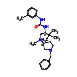 Cc1cccc(NC(=O)N[C@H](CN(C)[C@H]2CCN(Cc3ccccc3)C2)C(C)(C)C)c1